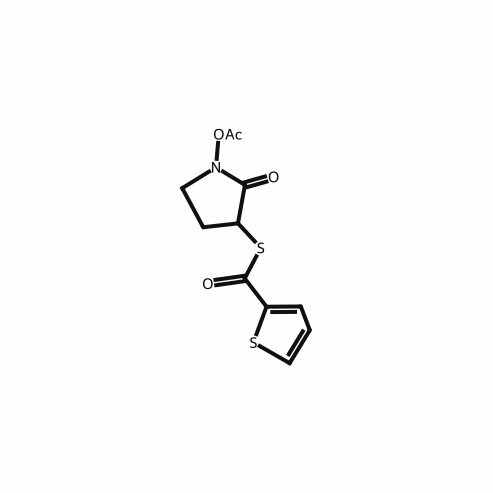 CC(=O)ON1CCC(SC(=O)c2cccs2)C1=O